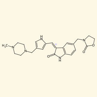 CN1CCN(Cc2c[nH]c(/C=C3\C(=O)Nc4ccc(CN5CCOC5=O)cc43)c2)CC1